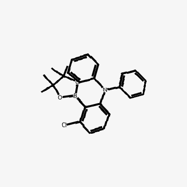 CC1(C)OB(c2c(Cl)cccc2N(c2ccccc2)c2ccccc2)OC1(C)C